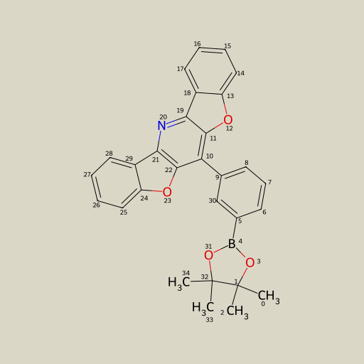 CC1(C)OB(c2cccc(-c3c4oc5ccccc5c4nc4c3oc3ccccc34)c2)OC1(C)C